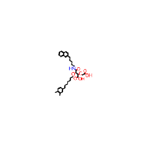 Cc1ccc(/C=C/CCCCCOC(C(=O)NCCCCCc2ccc3ccccc3c2)C(OCC(=O)O)C(=O)O)cc1C